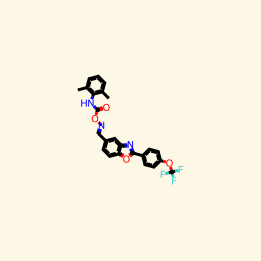 Cc1cccc(C)c1NC(=O)ON=Cc1ccc2oc(-c3ccc(OC(F)(F)F)cc3)nc2c1